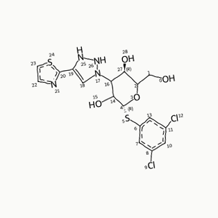 OCC1O[C@H](Sc2cc(Cl)cc(Cl)c2)C(O)C(N2C=C(c3nccs3)NN2)[C@H]1O